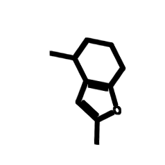 Cc1cc2c(o1)CCCC2C